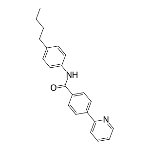 CCCCc1ccc(NC(=O)c2ccc(-c3ccccn3)cc2)cc1